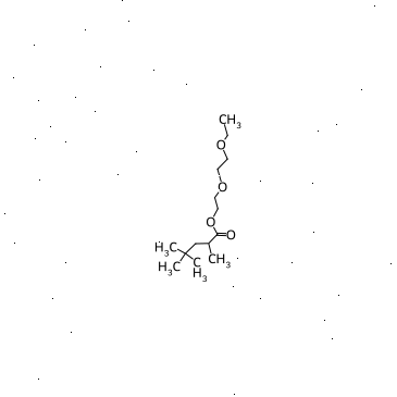 CCOCCOCCOC(=O)C(C)CC(C)(C)C